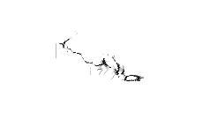 CC(=O)NCCCCCCC(=O)Nc1nc(-c2ccccc2)cs1